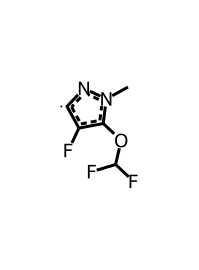 Cn1n[c]c(F)c1OC(F)F